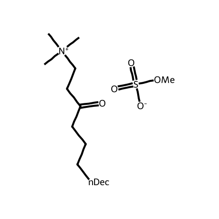 CCCCCCCCCCCCCC(=O)CC[N+](C)(C)C.COS(=O)(=O)[O-]